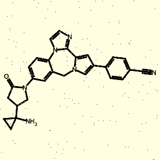 N#Cc1ccc(-c2cc3n(c2)Cc2cc(N4CC(C5(N)CC5)CC4=O)ccc2-n2ccnc2-3)cc1